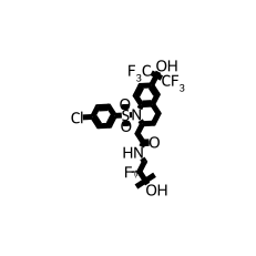 CC(C)(O)[C@H](F)CNC(=O)CC1CCc2cc(C(O)(C(F)(F)F)C(F)(F)F)ccc2N1S(=O)(=O)c1ccc(Cl)cc1